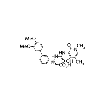 COc1ccc(-c2cccc([C@H](CC(=O)O)NC(=O)Nc3c(O)c(C)cn(C)c3=O)c2)cc1OC